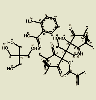 C=C(C)C(=O)OC(C(=O)C(=C)C)(C(=O)C(=C)C)C(CO)(CO)C(O)(C(=O)C(=C)C)C(=O)C(=C)C.Nc1ccccc1C(=O)O.OCC(CO)(CO)CO